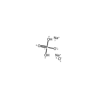 O=P([O-])(O)O.[Cl-].[Na+].[Na+]